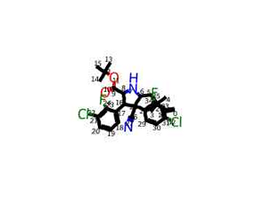 C=CC(C)(C)CC1NC(C(=O)OC(C)(C)C)C(c2cccc(Cl)c2F)C1(C#N)c1ccc(Cl)cc1F